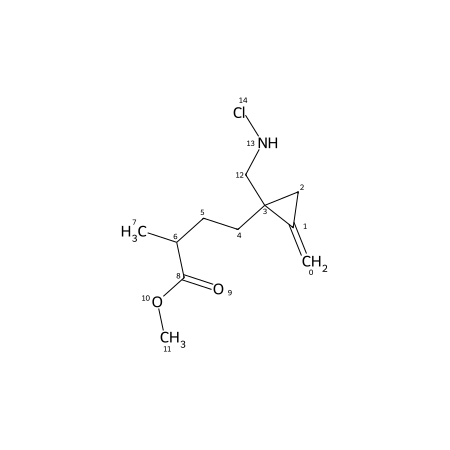 C=C1CC1(CCC(C)C(=O)OC)CNCl